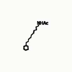 CC(=O)NC/C=C/C=C/CCCCCc1ccccc1